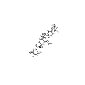 CCOc1cc(NC(=O)c2cc(=O)n(C)cc2C)ccc1S(=O)(=O)Nc1cccc(OC(F)(P)P)c1